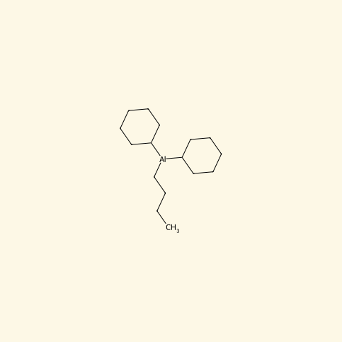 CCC[CH2][Al]([CH]1CCCCC1)[CH]1CCCCC1